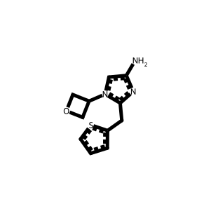 Nc1cn(C2COC2)c(Cc2cccs2)n1